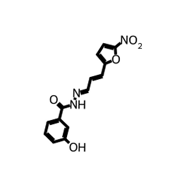 O=C(N/N=C/C=C/c1ccc([N+](=O)[O-])o1)c1cccc(O)c1